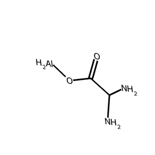 NC(N)C(=O)[O][AlH2]